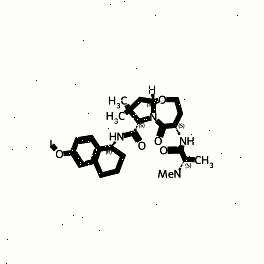 CN[C@@H](C)C(=O)N[C@H]1CCO[C@H]2CC(C)(C)[C@@H](C(=O)N[C@@H]3CCCc4cc(OI)ccc43)N2C1=O